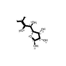 CC(C)=C(O)[C@@H](O)[C@H]1O[C@H](O)[C@@H](O)[C@H]1O